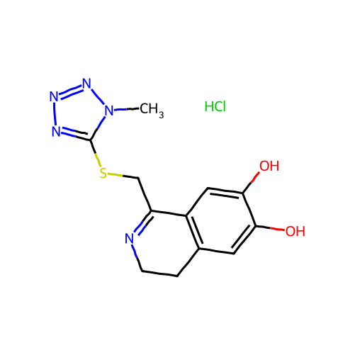 Cl.Cn1nnnc1SCC1=NCCc2cc(O)c(O)cc21